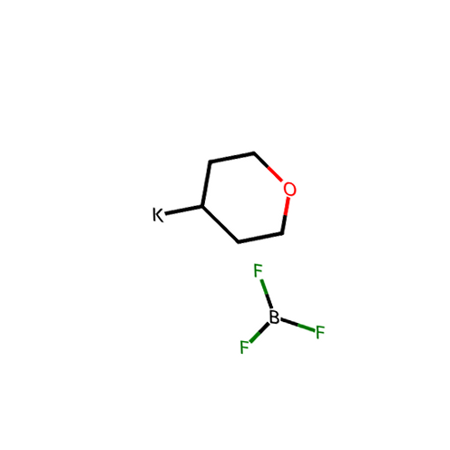 FB(F)F.[K][CH]1CCOCC1